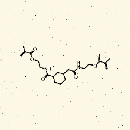 C=C(C)C(=O)OCCNC(=O)CC1CCCC(C(=O)NCCOC(=O)C(=C)C)C1